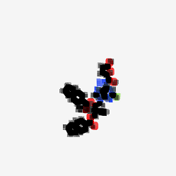 C#CC(COC(=O)C1CCC2(CCCC2)CC1)(OC)[C@H](Cn1cnc2c(NC(=O)[C@H]3CCC(=O)O3)nc(F)nc21)OC(=O)C1CCC2(CCCC2)CC1